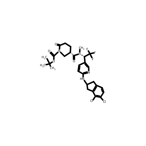 CN(C(=O)[C@H]1CCC(=O)N(C(=O)OC(C)(C)C)C1)[C@@H](c1ccc(NC2Cc3ccc(Cl)c(Cl)c3C2)nc1)C(F)(F)F